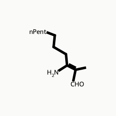 CCCCCCCCC(N)=C(C)C=O